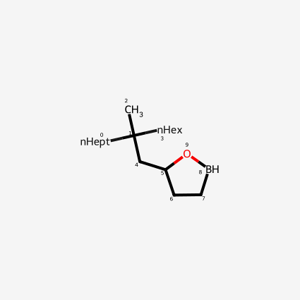 CCCCCCCC(C)(CCCCCC)CC1CCBO1